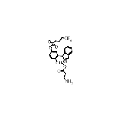 NCCC(=O)OC[C@@H]1Cc2ccccc2C1c1cc(OS(=O)(=O)CCCC(F)(F)F)ccc1O